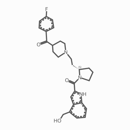 O=C(c1ccc(F)cc1)C1CCN(CC[C@@H]2CCCN2C(=O)c2cc3c(CO)cccc3[nH]2)CC1